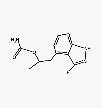 CC(Cc1cccc2[nH]nc(F)c12)OC(N)=O